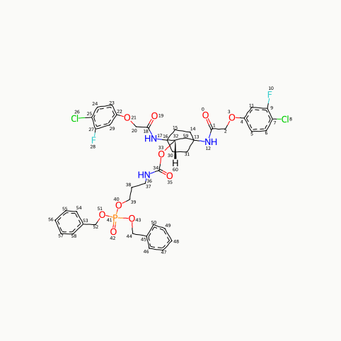 O=C(COc1ccc(Cl)c(F)c1)NC12CCC(NC(=O)COc3ccc(Cl)c(F)c3)(CC1)[C@@H](OC(=O)NCCCOP(=O)(OCc1ccccc1)OCc1ccccc1)C2